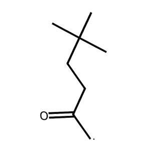 [CH2]C(=O)CCC(C)(C)C